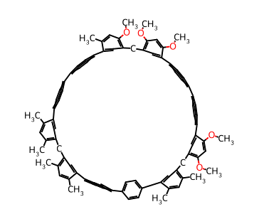 COc1cc(OC)c2cc1Cc1cc(c(C)cc1C)-c1ccc(cc1)-c1ccc(cc1)-c1cc(c(C)cc1C)Cc1cc(c(C)cc1C)-c1ccc(cc1)-c1ccc(cc1)-c1cc(c(OC)cc1C)Cc1cc(c(OC)cc1OC)-c1ccc(cc1)-c1ccc-2cc1